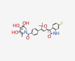 C[C@H]1[C@H](O)[C@@H](O)[C@H](O)CN1C(=O)c1ccc(C2=C/C(=C3\C(=O)Nc4cc(F)ccc43)OC2(C)C)cc1